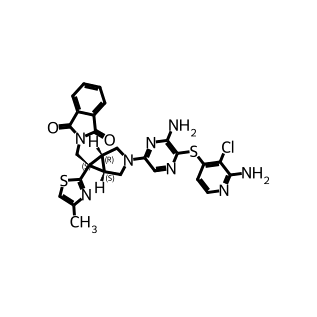 Cc1csc([C@]2(CN3C(=O)c4ccccc4C3=O)[C@@H]3CN(c4cnc(Sc5ccnc(N)c5Cl)c(N)n4)C[C@@H]32)n1